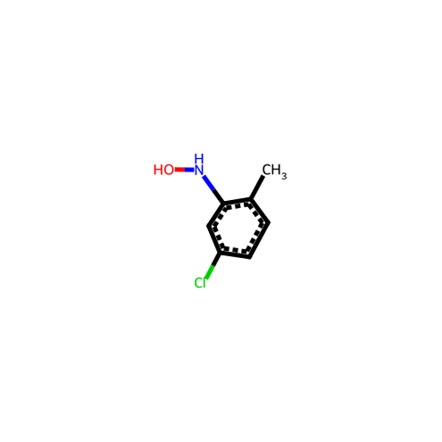 Cc1ccc(Cl)cc1NO